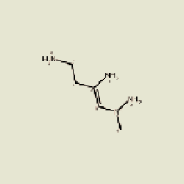 CN(N)/C=C(\N)CCN